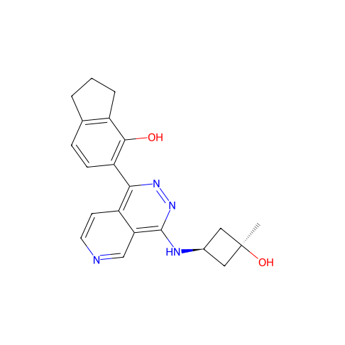 C[C@]1(O)C[C@@H](Nc2nnc(-c3ccc4c(c3O)CCC4)c3ccncc23)C1